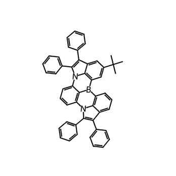 CC(C)(C)c1cc2c3c(c1)c(-c1ccccc1)c(-c1ccccc1)n3-c1cccc3c1B2c1cccc2c(-c4ccccc4)c(-c4ccccc4)n-3c12